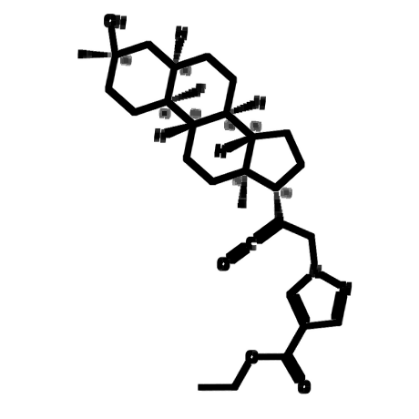 CCOC(=O)c1cnn(CC(=C=O)[C@H]2CC[C@H]3[C@@H]4CC[C@@H]5C[C@](C)(O)CC[C@]5(F)[C@H]4CC[C@]23C)c1